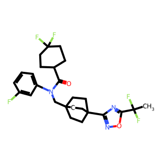 CC(F)(F)c1nc(C23CCC(CN(C(=O)C4CCC(F)(F)CC4)c4cccc(F)c4)(CC2)CC3)no1